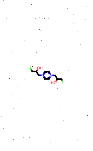 OC(CCl)C[n+]1cc[n+](CC(O)CCl)cc1